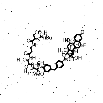 CCCCC(C)SC(CC(=O)O)C(=O)NCCC(=O)N[C@@H](C)C(=O)N[C@@H](C)C(=O)N(C)c1ccc(Cc2ccc([C@@H]3O[C@@H]4C[C@H]5[C@@H]6C[C@H](F)C7=CC(=O)C=C[C@]7(C)[C@@]6(F)[C@@H](O)C[C@]5(C)[C@]4(C(=O)CO)O3)cc2)cc1OC